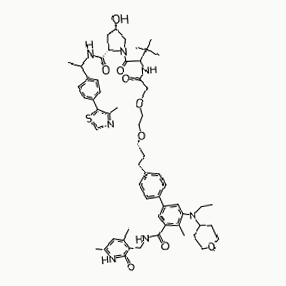 CCN(c1cc(-c2ccc(CCCOCCOCC(=O)NC(C(=O)N3C[C@H](O)C[C@H]3C(=O)NC(C)c3ccc(-c4scnc4C)cc3)C(C)(C)C)cc2)cc(C(=O)NCc2c(C)cc(C)[nH]c2=O)c1C)C1CCOCC1